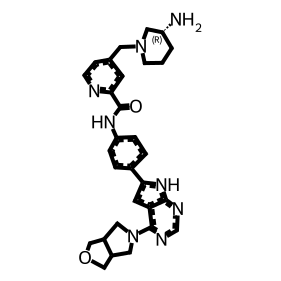 N[C@@H]1CCCN(Cc2ccnc(C(=O)Nc3ccc(-c4cc5c(N6CC7COCC7C6)ncnc5[nH]4)cc3)c2)C1